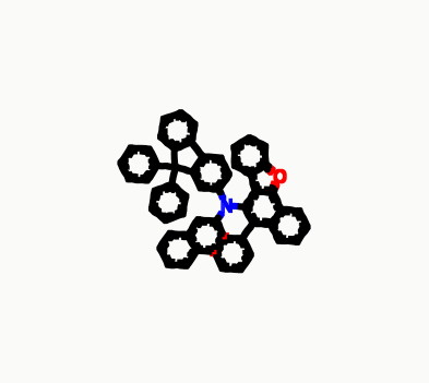 c1ccc(-c2c(N(c3ccc4c(c3)C(c3ccccc3)(c3ccccc3)c3ccccc3-4)c3ccc4ccccc4c3)c3c4ccccc4oc3c3ccccc23)cc1